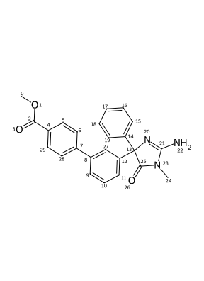 COC(=O)c1ccc(-c2cccc(C3(c4ccccc4)N=C(N)N(C)C3=O)c2)cc1